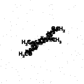 C=CC(=O)SCC1CSC(C(CCC)SCC2CCC(CSC(CCC)C3SCC(CSC(=O)C=C)S3)CC2)S1